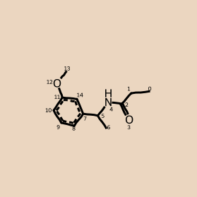 CCC(=O)NC(C)c1cccc(OC)c1